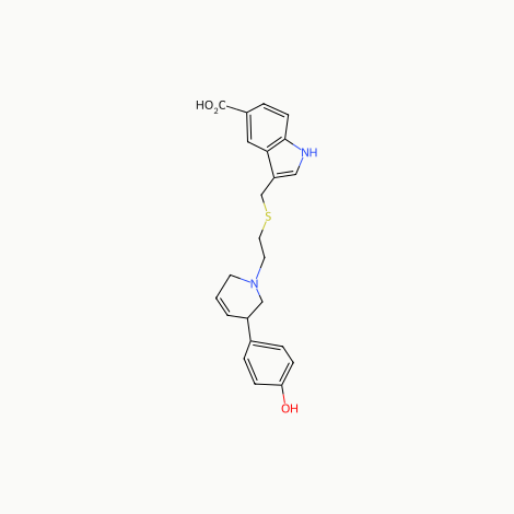 O=C(O)c1ccc2[nH]cc(CSCCN3CC=CC(c4ccc(O)cc4)C3)c2c1